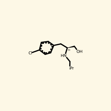 CC(C)CN[C@H](CO)Cc1ccc(Cl)cc1